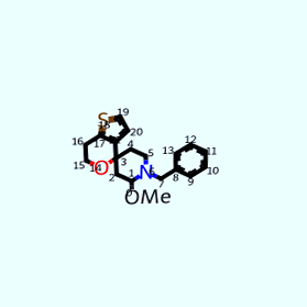 COC1CC2(CCN1Cc1ccccc1)OCCc1sccc12